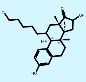 C[C@]12CC(CCCCCCl)[C@@H]3c4ccc(O)cc4CC[C@H]3[C@@H]1CC(O)C2=O